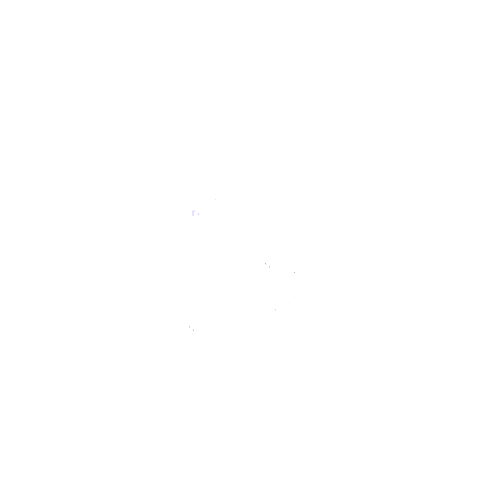 O=c1[nH]c2cc([N+](=O)[O-])c3c(c2[nH]c1=O)CC(NC1CCCCC1)CC3